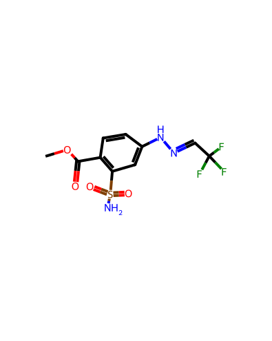 COC(=O)c1ccc(N/N=C/C(F)(F)F)cc1S(N)(=O)=O